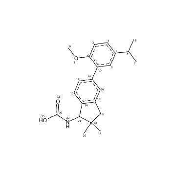 COc1ccc(C(C)C)cc1-c1ccc2c(c1)CC(C)(C)C2NC(=O)O